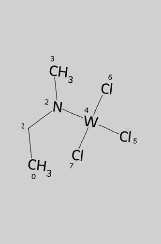 CC[N](C)[W]([Cl])([Cl])[Cl]